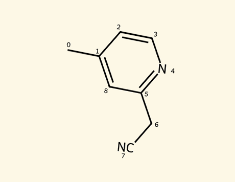 Cc1ccnc(CC#N)c1